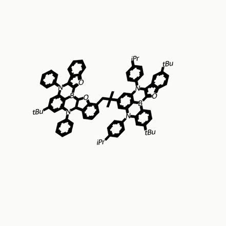 CC(C)c1ccc(N2c3cc(C(C)(C)C)ccc3B3c4oc5ccc(C(C)(C)C)cc5c4N(c4ccc(C(C)C)cc4)c4cc(C(C)(C)Cc5cccc6c5OC5B7c8oc9ccccc9c8N(c8ccccc8)c8cc(C(C)(C)C)cc(c87)N(c7ccccc7)C65)cc2c43)cc1